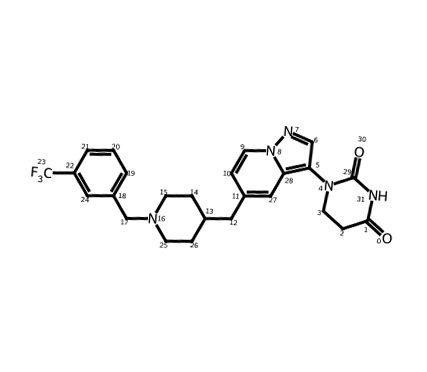 O=C1CCN(c2cnn3ccc(CC4CCN(Cc5cccc(C(F)(F)F)c5)CC4)cc23)C(=O)N1